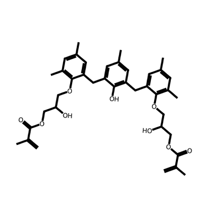 C=C(C)C(=O)OCC(O)COc1c(C)cc(C)cc1Cc1cc(C)cc(Cc2cc(C)cc(C)c2OCC(O)COC(=O)C(=C)C)c1O